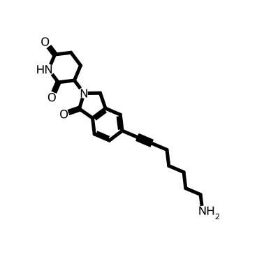 NCCCCCC#Cc1ccc2c(c1)CN(C1CCC(=O)NC1=O)C2=O